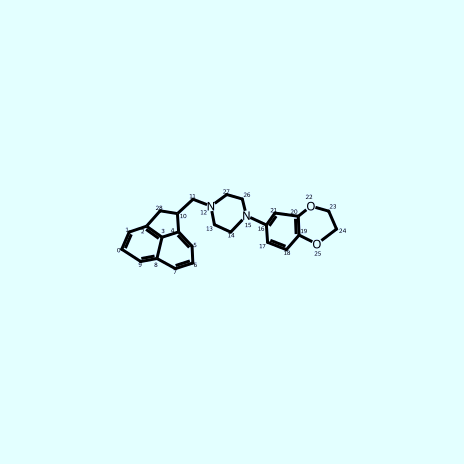 c1cc2c3c(cccc3c1)C(CN1CCN(c3ccc4c(c3)OCCO4)CC1)C2